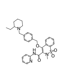 CCC1CCCCN1Cc1ccc(COC2=C(C(=O)Nc3ccccn3)N(C)S(=O)(=O)c3ccccc32)cc1